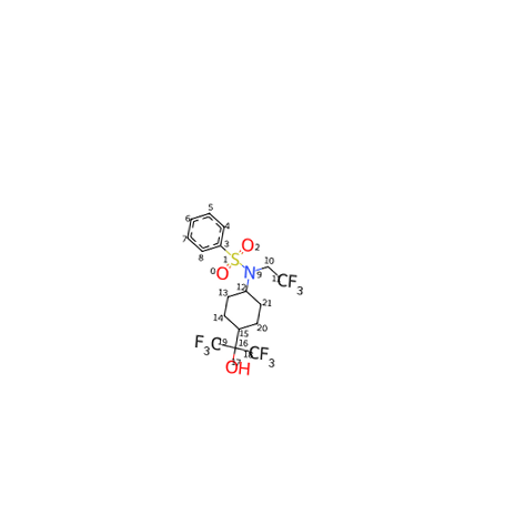 O=S(=O)(c1ccccc1)N(CC(F)(F)F)C1CCC(C(O)(C(F)(F)F)C(F)(F)F)CC1